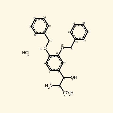 Cl.NC(C(=O)O)C(O)c1ccc(OCc2ccccc2)c(OCc2ccccc2)c1